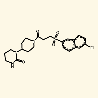 O=C(CCS(=O)(=O)c1ccc2cc(Cl)ccc2c1)N1CCC(N2CCCNC2=O)CC1